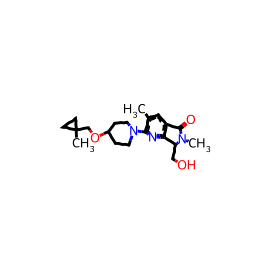 Cc1cc2c(nc1N1CCC(OCC3(C)CC3)CC1)C(CO)N(C)C2=O